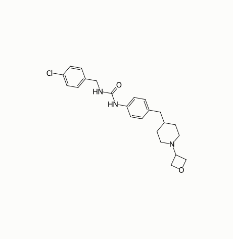 O=C(NCc1ccc(Cl)cc1)Nc1ccc(CC2CCN(C3COC3)CC2)cc1